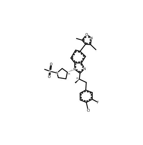 Cc1noc(C)c1-c1ccc2c(c1)nc([C@H](C)Cc1ccc(Cl)c(F)c1)n2[C@@H]1CCN(S(C)(=O)=O)C1